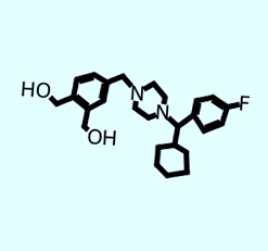 OCc1ccc(CN2CCN(C(c3ccc(F)cc3)C3CCCCC3)CC2)cc1CO